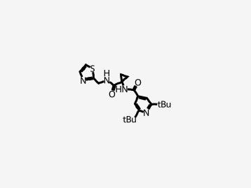 CC(C)(C)c1cc(C(=O)NC2(C(=O)NCc3nccs3)CC2)cc(C(C)(C)C)n1